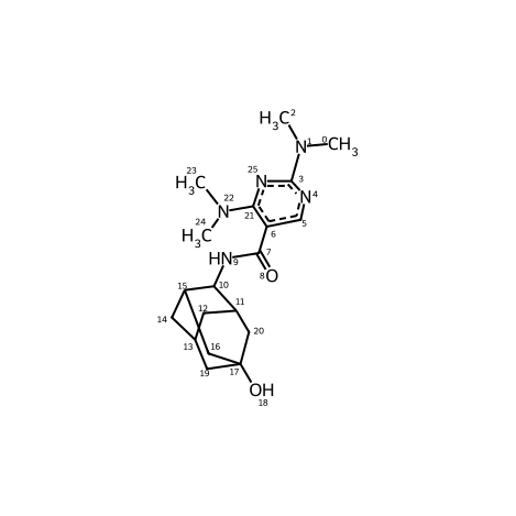 CN(C)c1ncc(C(=O)NC2C3CC4CC2CC(O)(C4)C3)c(N(C)C)n1